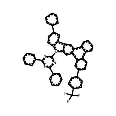 FC(F)(F)c1ccc(-c2ccc3c4ccccc4c4cc5c6cc(-c7ccccc7)ccc6n(-c6nc(-c7ccccc7)nc(-c7ccccc7)n6)c5cc4c3c2)cc1